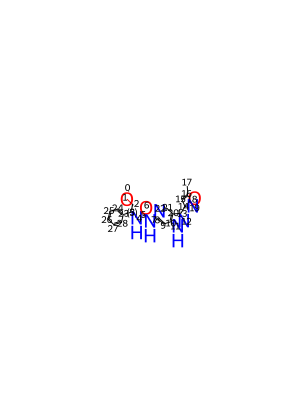 COC[C@@H](NC(=O)Nc1cc2[nH]nc(-c3cc(C)on3)c2cn1)c1ccccc1